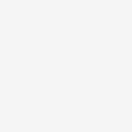 C=C1C(n2c3ccc(C4Cc5cc6ccccc6cc5-c5ccccc54)cc3c3c4ccccc4ccc32)=Nc2ccccc2C1c1cccc2c1C(C)(C)c1ccccc1-2